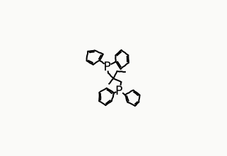 CCC(C)(CP(c1ccccc1)c1ccccc1)CP(c1ccccc1)c1ccccc1